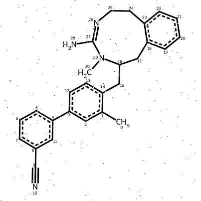 Cc1cc(-c2cccc(C#N)c2)ccc1CC1Cc2ccccc2CC/N=C(/N)N1C